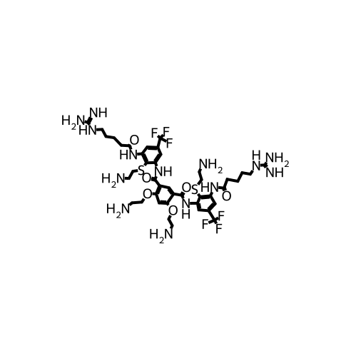 N=C(N)NCCCCC(=O)Nc1cc(C(F)(F)F)cc(NC(=O)c2cc(C(=O)Nc3cc(C(F)(F)F)cc(NC(=O)CCCCNC(=N)N)c3SCCN)c(OCCN)cc2OCCN)c1SCCN